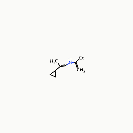 C=C(CC)N/C=C(\C)C1CC1